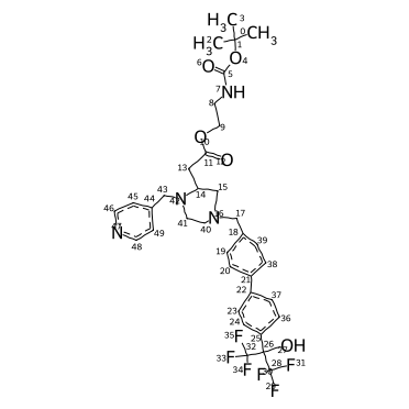 CC(C)(C)OC(=O)NCCOC(=O)CC1CN(Cc2ccc(-c3ccc(C(O)(C(F)(F)F)C(F)(F)F)cc3)cc2)CCN1Cc1ccncc1